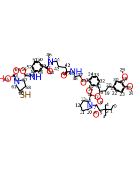 CCC(C)(C)C(=O)C(=O)N1CCCC[C@H]1C(=O)O[C@H](CCc1ccc(OC)c(OC)c1)c1cccc(OCCNC(=O)CCCN(C)C(=O)c2cccc(NC(=O)[C@@H]3C[C@H](S)CN3C(=O)O)c2)c1